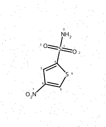 NS(=O)(=O)c1cc([N+](=O)[O-])cs1